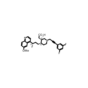 COc1ccc2nccc([C@@H](F)CC[C@@H]3CCN(CC#Cc4cc(F)cc(F)c4)C[C@@H]3CC(=O)O)c2c1